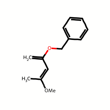 C=C(/C=C(\C)OC)OCc1ccccc1